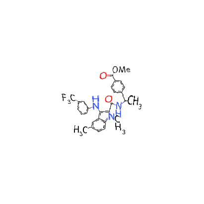 COC(=O)c1ccc(C(C)NC(=O)c2c(Nc3cccc(C(F)(F)F)c3)c3cc(C)ccc3n2C)cc1